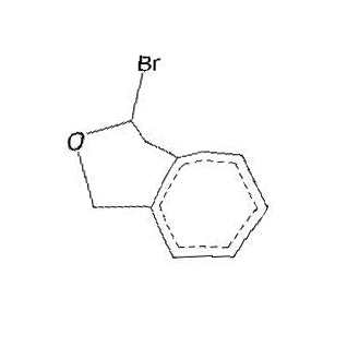 BrC1OCc2ccccc21